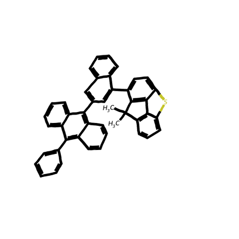 CC1(C)c2cccc3sc4ccc(-c5cc(-c6c7ccccc7c(-c7ccccc7)c7ccccc67)cc6ccccc56)c1c4c23